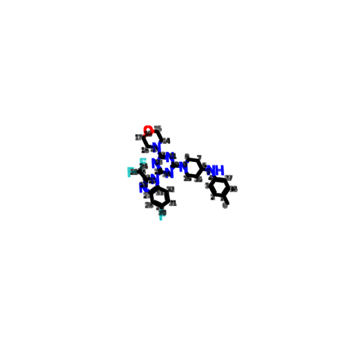 Cc1ccc(NC2CCN(c3nc(N4CCOCC4)nc(-n4c(C(F)F)nc5cc(F)ccc54)n3)CC2)cc1